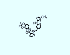 Cc1csc(Nc2cc(CNc3ncsc3C(=O)Nc3ccc4c(c3)OC(F)(F)O4)ccn2)n1